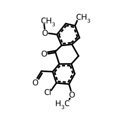 COc1cc2c(c(C=O)c1Cl)C(=O)c1c(cc(C)cc1OC)C2